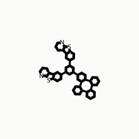 c1ccc2c(c1)-c1ccccc1-c1ccc(-c3cc(-c4ccc5sc6ncccc6c5c4)cc(-c4ccc5sc6ncccc6c5c4)c3)cc1-c1ccccc1-2